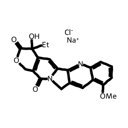 CCC1(O)C(=O)OCc2c1cc1n(c2=O)Cc2cc3c(OC)cccc3nc2-1.[Cl-].[Na+]